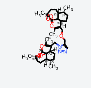 C[C@@H]1CC[C@H]2C(COCc3cnnn3CC3=C(C(F)(F)F)O[C@@H]4O[C@]5(C)CC[C@H]6[C@H](C)CC[C@@H]3[C@@]46OO5)=C(C(F)(F)F)O[C@@H]3O[C@]4(C)CC[C@@H]1[C@]32OO4